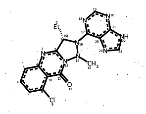 CC[C@H]1c2nc3cccc(Cl)c3c(=O)n2N(C)N1c1ncnc2[nH]cnc12